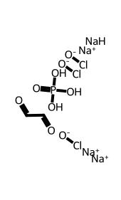 O=CC=O.O=P(O)(O)O.[Na+].[Na+].[Na+].[NaH].[O-]Cl.[O-]Cl.[O-]Cl